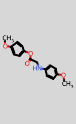 COc1ccc(NCC(=O)Oc2ccc(OC)cc2)cc1